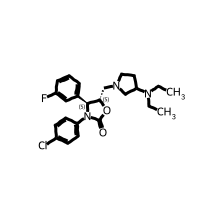 CCN(CC)C1CCN(C[C@@H]2OC(=O)N(c3ccc(Cl)cc3)[C@H]2c2cccc(F)c2)C1